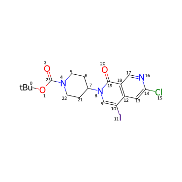 CC(C)(C)OC(=O)N1CCC(n2cc(I)c3cc(Cl)ncc3c2=O)CC1